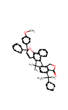 COc1ccc(C2(c3ccccc3)C=Cc3c4c(c5ccccc5c3O2)-c2c(cc(C(C)(C)c3ccccc3)c3c2COC3=O)C4(C)C)cc1